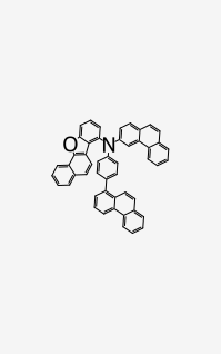 c1ccc2c(c1)ccc1ccc(N(c3ccc(-c4cccc5c4ccc4ccccc45)cc3)c3cccc4oc5c6ccccc6ccc5c34)cc12